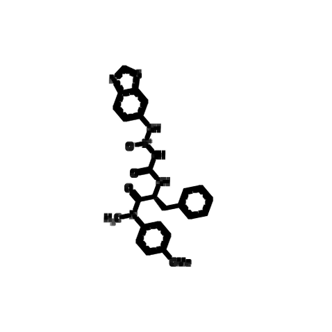 COc1ccc(N(C)C(=O)[C@H](Cc2ccccc2)NC(=O)N[S+]([O-])Nc2ccc3ncsc3c2)cc1